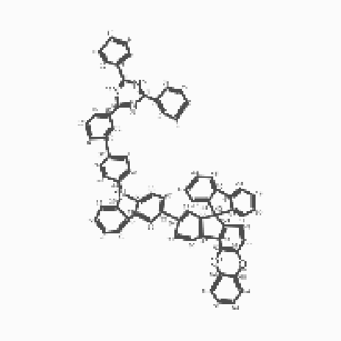 c1ccc(-c2nc(-c3ccccc3)nc(-c3cccc(-c4ccc(-n5c6ccccc6c6cc(-c7ccc8c(c7)C7(c9ccccc9-c9ccccc97)c7ccc9c(c7-8)Oc7ccccc7O9)ccc65)cc4)c3)n2)cc1